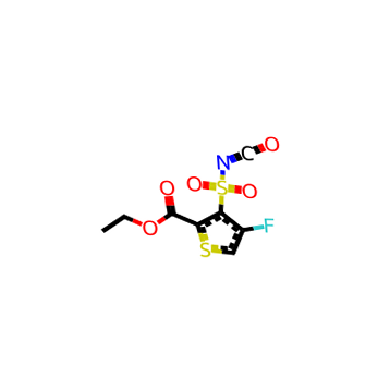 CCOC(=O)c1scc(F)c1S(=O)(=O)N=C=O